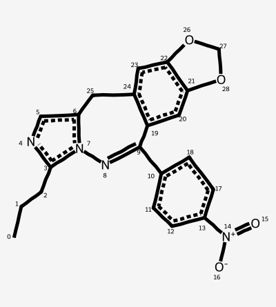 CCCc1ncc2n1N=C(c1ccc([N+](=O)[O-])cc1)c1cc3c(cc1C2)OCO3